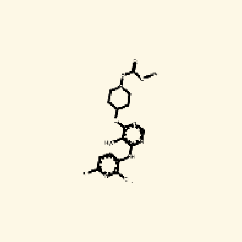 Cc1nc(Cl)ccc1Nc1ncnc(OC2CCN(OC(=O)OC(C)C)CC2)c1C